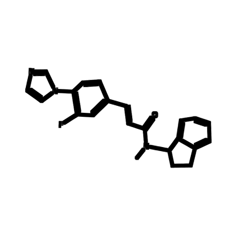 CN(C(=O)/C=C/c1ccc(-n2ccnc2)c(F)c1)C1CCc2ccccc21